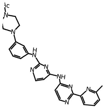 CC(=O)N1CCN(c2cccc(Nc3nccc(Nc4ccnc(-c5cccc(C)n5)n4)n3)c2)CC1